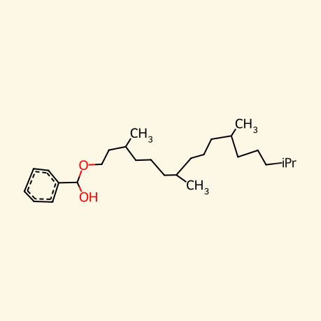 CC(C)CCCC(C)CCCC(C)CCCC(C)CCOC(O)c1ccccc1